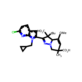 COC1=CC(C)(C(=O)O)CN2N=C(c3cc4ccc(Cl)nc4n3CC3CC3)C(C(=O)O)(C(C)(C)C)C12